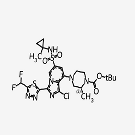 C[C@H]1CN(c2cc(S(=O)(=O)NC3(C)CC3)cn3c(-c4nnc(C(F)F)s4)nc(Cl)c23)CCN1C(=O)OC(C)(C)C